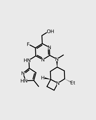 CC[C@H]1C[C@H](N(C)c2nc(CO)c(F)c(Nc3cc(C)[nH]n3)n2)C[C@H]2CCN21